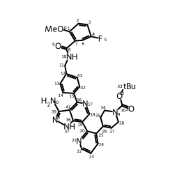 COc1ccc(F)cc1C(=O)NCc1ccc(-c2ncc(-c3ncccc3C3=CCN(C(=O)OC(C)(C)C)CC3)c3[nH]nc(N)c23)cc1